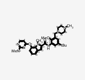 CNc1nccc(Oc2cccc3cc(C(=O)Nc4cc(C(C)(C)C)cc(CN5CCN(C)CC5)c4OC)n(C)c23)n1